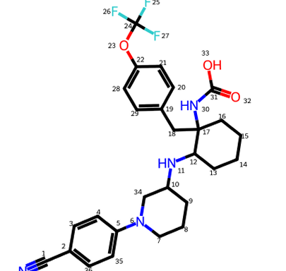 N#Cc1ccc(N2CCCC(NC3CCCCC3(Cc3ccc(OC(F)(F)F)cc3)NC(=O)O)C2)cc1